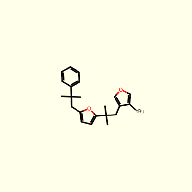 CC(C)(C)c1cocc1CC(C)(C)c1ccc(CC(C)(C)c2ccccc2)o1